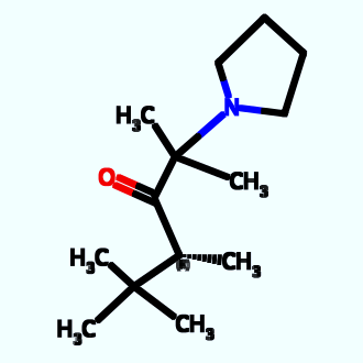 C[C@@H](C(=O)C(C)(C)N1CCCC1)C(C)(C)C